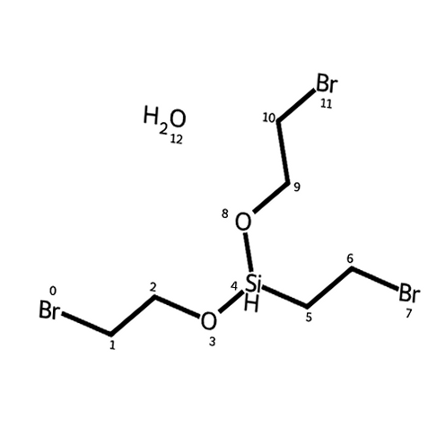 BrCCO[SiH](CCBr)OCCBr.O